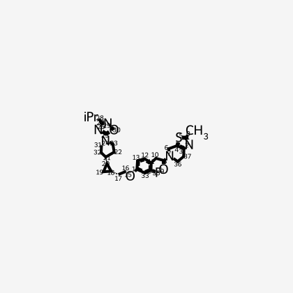 Cc1nc2c(s1)CN(C(=O)Cc1ccc(OCC[C@@H]3C[C@@H]3C3CCN(c4nc(C(C)C)no4)CC3)cc1F)CC2